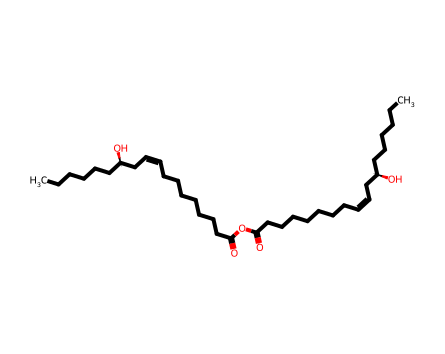 CCCCCC[C@@H](O)C/C=C\CCCCCCCC(=O)OC(=O)CCCCCCC/C=C\C[C@H](O)CCCCCC